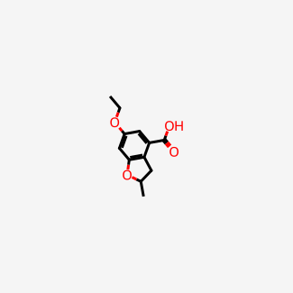 CCOc1cc2c(c(C(=O)O)c1)CC(C)O2